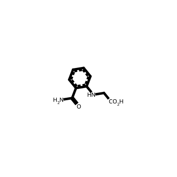 NC(=O)c1ccccc1NCC(=O)O